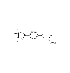 [CH2]C(COc1ccc(B2OC(C)(C)C(C)(C)O2)cc1)OC